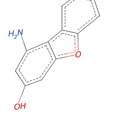 Nc1cc(O)cc2oc3ccccc3c12